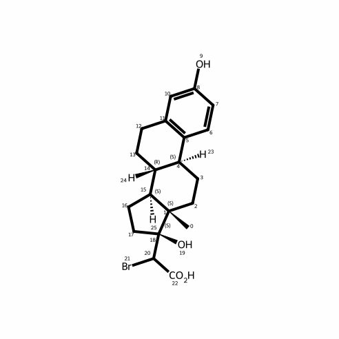 C[C@]12CC[C@@H]3c4ccc(O)cc4CC[C@H]3[C@@H]1CC[C@@]2(O)C(Br)C(=O)O